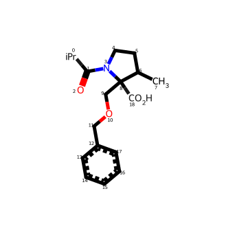 CC(C)C(=O)N1CCC(C)C1(COCc1ccccc1)C(=O)O